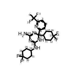 CC(F)(F)c1cccc(C2(C3CCC(F)(F)CC3)N=C(N)N=C(NC3CCC(F)(F)CC3)N2)n1